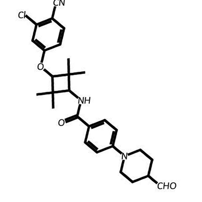 CC1(C)C(NC(=O)c2ccc(N3CCC(C=O)CC3)cc2)C(C)(C)C1Oc1ccc(C#N)c(Cl)c1